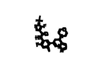 Cc1cc(F)c(NC(=O)c2cnn(C(C)(C)C)c2F)cc1-c1cc(N2CCOCC2)c2ccnn2c1